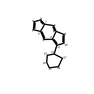 C1=Cc2cc3c(cc2=C1)C=CC=3C1CCCCC1